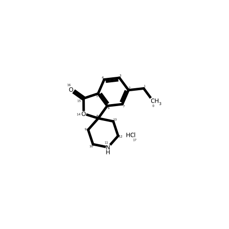 CCc1ccc2c(c1)C1(CCNCC1)OC2=O.Cl